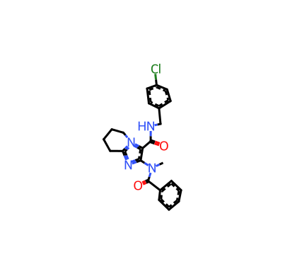 CN(C(=O)c1ccccc1)c1nc2n(c1C(=O)NCc1ccc(Cl)cc1)CCCC2